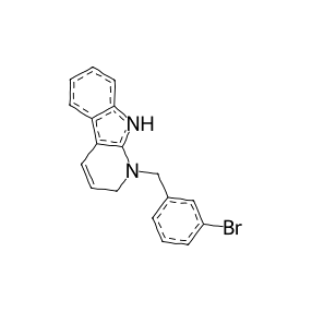 Brc1cccc(CN2CC=Cc3c2[nH]c2ccccc32)c1